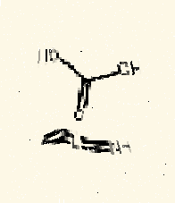 C=C=N.O=C(O)O